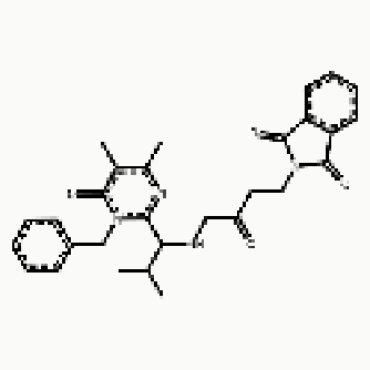 Cc1nc(C(NCC(=O)CCN2C(=O)c3ccccc3C2=O)C(C)C)n(Cc2ccccc2)c(=O)c1C